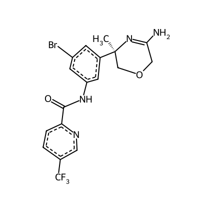 C[C@@]1(c2cc(Br)cc(NC(=O)c3ccc(C(F)(F)F)cn3)c2)COCC(N)=N1